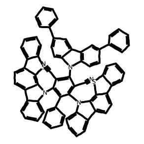 N#Cc1c(-n2c3ccc(-c4ccccc4)cc3c3cc(-c4ccccc4)ccc32)c(C#N)c(-n2c3ccccc3c3ccc4c5ccccc5sc4c32)c(-c2ccccc2)c1-n1c2ccccc2c2ccc3c4ccccc4sc3c21